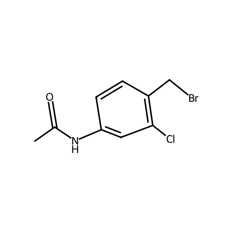 CC(=O)Nc1ccc(CBr)c(Cl)c1